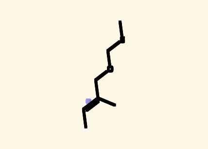 C/C=C(\C)COCSC